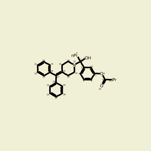 CCCC(O)(c1cccc(OC(=O)C(C)C)c1)N1CCC(=C(c2ccccc2)c2ccccc2)CC1